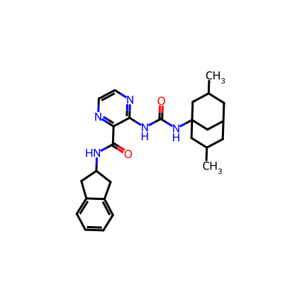 CC1CC2CC(C)CC(NC(=O)Nc3nccnc3C(=O)NC3Cc4ccccc4C3)(C1)C2